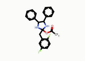 O=C(OC1(Cc2cc(F)ccc2F)NC(c2ccccc2)C(c2ccccc2)N1)C(F)(F)F